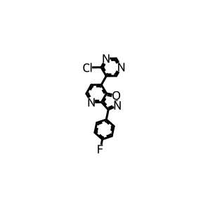 Fc1ccc(-c2noc3c(-c4cncnc4Cl)ccnc23)cc1